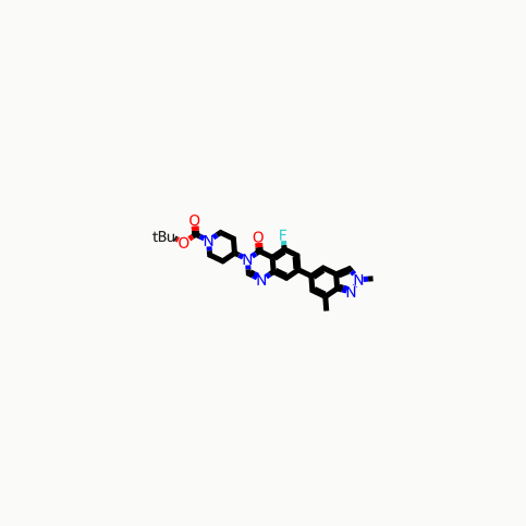 Cc1cc(-c2cc(F)c3c(=O)n(C4CCN(C(=O)OC(C)(C)C)CC4)cnc3c2)cc2cn(C)nc12